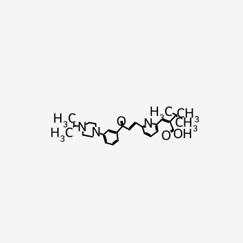 CC(C)N1CCN(c2cccc(C(=O)C=Cc3cccc(C=C(C(=O)O)C(C)(C)C)n3)c2)CC1